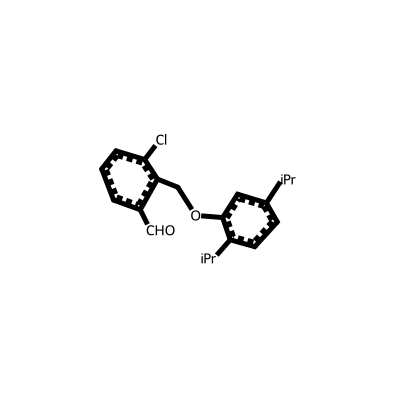 CC(C)c1ccc(C(C)C)c(OCc2c(Cl)cccc2C=O)c1